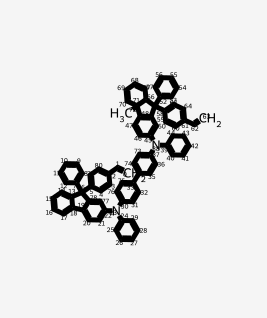 C=Cc1ccc(C2(c3ccccc3)c3ccccc3-c3ccc(N(c4ccccc4)c4ccc(-c5ccc(N(C6=CC=CCC6)c6ccc7c(c6)C(c6ccccc6)(c6ccc(C=C)cc6)C6C=CC=CC76C)cc5)cc4)cc32)cc1